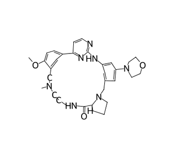 COc1ccc2cc1CN(C)CCCNC(=O)[C@@H]1CCCN1Cc1cc(cc(N3CCOCC3)c1)Nc1nccc-2n1